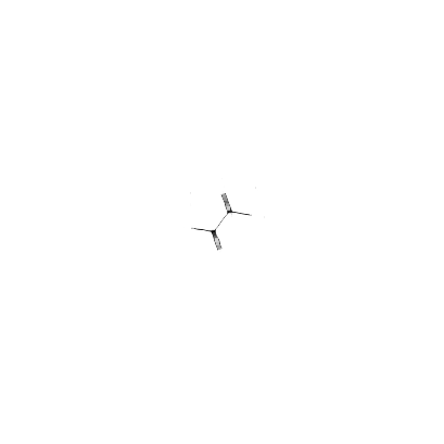 O=C([O-])C(=O)[O-].[Ag+].[Cs+]